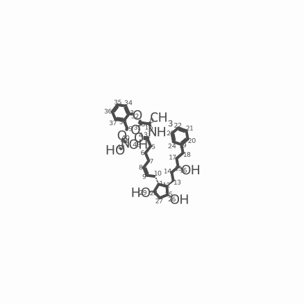 CC(NC(=O)CCC/C=C\C[C@@H]1[C@@H](CC[C@@H](O)CCc2ccccc2)[C@H](O)C[C@@H]1O)C(=O)Oc1ccccc1CON(O)O